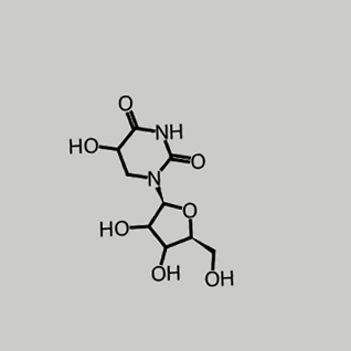 O=C1NC(=O)N([C@H]2O[C@@H](CO)C(O)C2O)CC1O